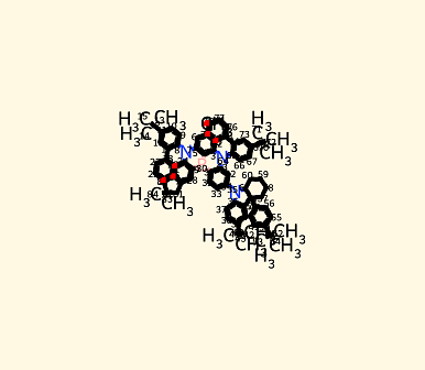 Cc1cc2c3c(c1)N(c1ccc(C(C)(C)C)cc1-c1ccccc1)c1cc4c(cc1B3c1ccc(N3c5ccc(C(C)(C)C)cc5C5(c6ccc(C(C)(C)C)cc6)CCCCC35)cc1N2c1ccc(C(C)(C)C)cc1-c1ccccc1)CC(C)(C)C4